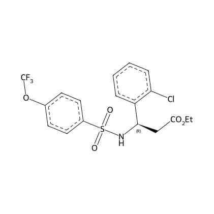 CCOC(=O)C[C@@H](NS(=O)(=O)c1ccc(OC(F)(F)F)cc1)c1ccccc1Cl